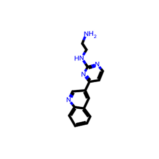 NCCNc1nccc(-c2cnc3ccccc3c2)n1